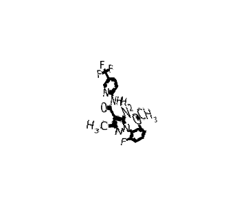 COc1cccc(F)c1-n1nc(C)c(C(=O)Nc2ccc(C(F)(F)F)cn2)c1N